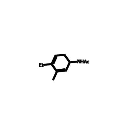 CCC1=CCC(NC(C)=O)C=C1C